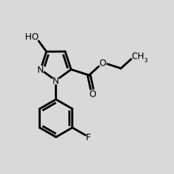 CCOC(=O)c1cc(O)nn1-c1cccc(F)c1